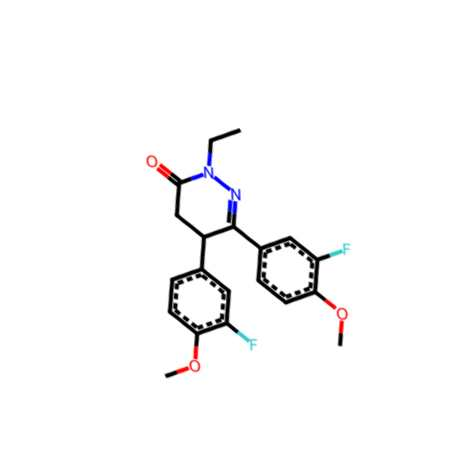 CCN1N=C(c2ccc(OC)c(F)c2)C(c2ccc(OC)c(F)c2)CC1=O